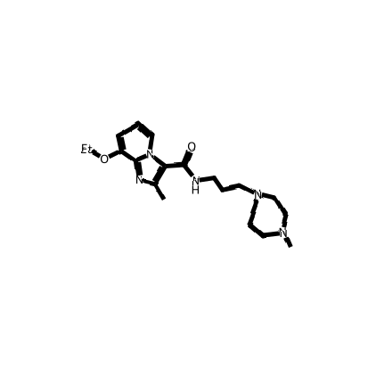 CCOc1cccn2c(C(=O)NCCCN3CCN(C)CC3)c(C)nc12